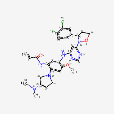 C=CC(=O)Nc1cc(Nc2cc(N3OCC[C@@H]3c3ccc(F)c(Cl)c3)ncn2)c(OC)cc1N1CC[C@H](N(C)C)C1